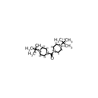 CC(C)(C)N1CCN(C(=O)N2CCN(C(C)(C)C)CC2)CC1